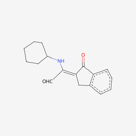 O=C/C(NC1CCCCC1)=C1\Cc2ccccc2C1=O